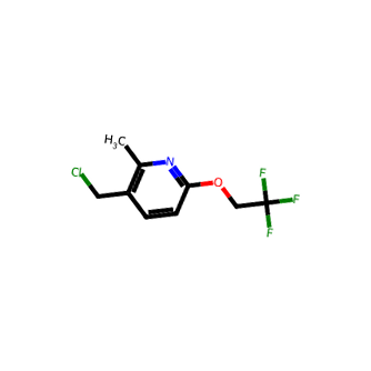 Cc1nc(OCC(F)(F)F)ccc1CCl